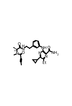 CC#CC(=O)N(C)[C@@H](C)C(=O)NCCc1cccc(Nc2nc(C3CC3)c(CC)nc2C(N)=O)c1